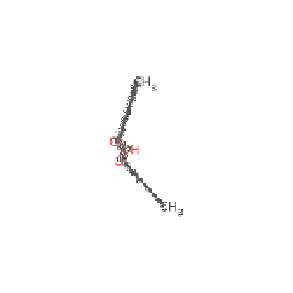 CC#CC#CC#CC#CC#CC#CC#CC#CC(=O)OCC(O)COC(=O)C#CC#CC#CC#CC#CC#CC#CC#CC